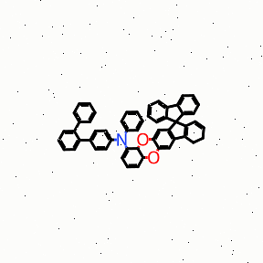 C1=CC2Oc3cc4c(cc3OC2C(N(c2ccccc2)c2ccc(-c3ccccc3-c3ccccc3)cc2)=C1)C1(C2=C4CCC=C2)c2ccccc2-c2ccccc21